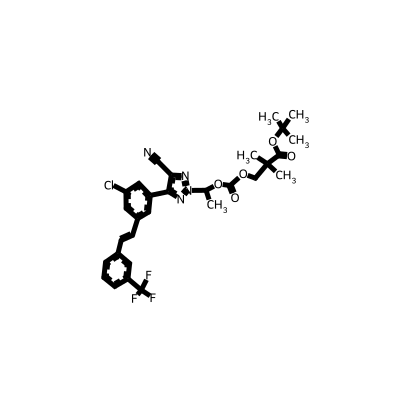 CC(OC(=O)OCC(C)(C)C(=O)OC(C)(C)C)n1nc(C#N)c(-c2cc(Cl)cc(/C=C/c3cccc(C(F)(F)F)c3)c2)n1